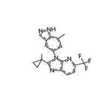 Cc1cc(-n2c(C3(C)CC3)nc3ccc(C(F)(F)F)nc32)cc2cn[nH]c12